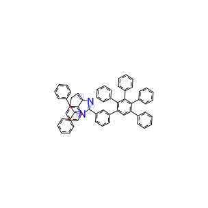 C1=C(c2ccccc2-c2ccccc2)/N=C(c2cccc(-c3cc(-c4ccccc4)c(-c4ccccc4)c(-c4ccccc4)c3-c3ccccc3)c2)\N=C(\c2ccccc2)CC/1